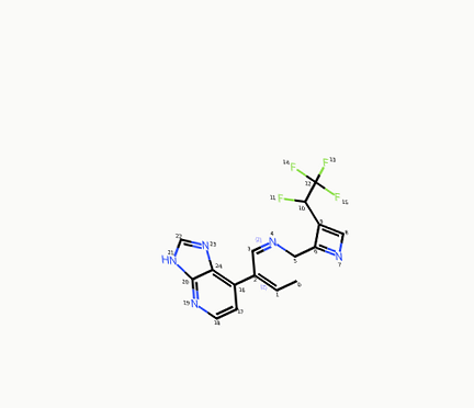 C/C=C(\C=N/CC1=NC=C1C(F)C(F)(F)F)c1ccnc2[nH]cnc12